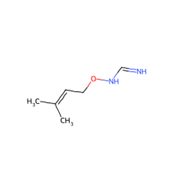 CC(C)=CCONC=N